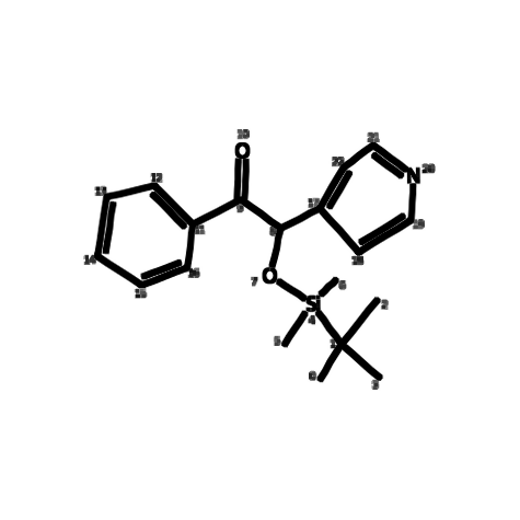 CC(C)(C)[Si](C)(C)OC(C(=O)c1ccccc1)c1ccncc1